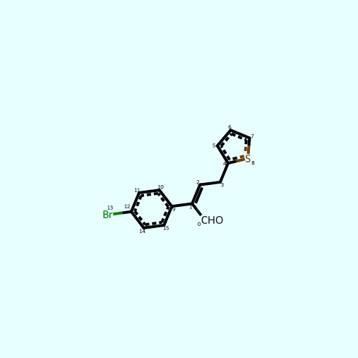 O=CC(=CCc1cccs1)c1ccc(Br)cc1